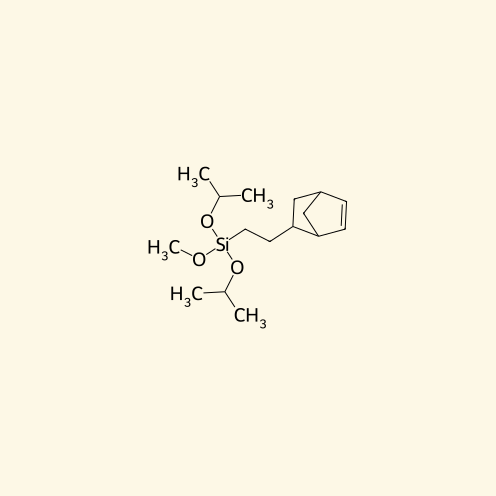 CO[Si](CCC1CC2C=CC1C2)(OC(C)C)OC(C)C